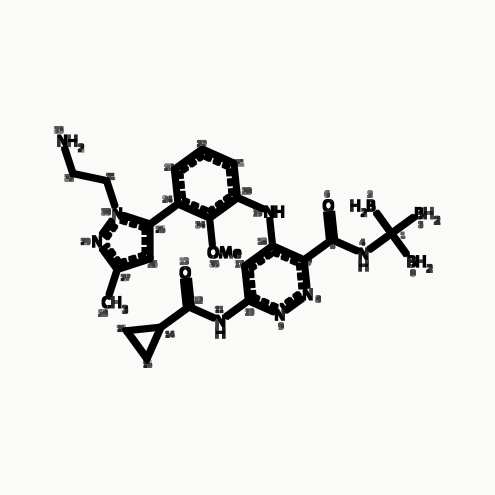 BC(B)(B)NC(=O)c1nnc(NC(=O)C2CC2)cc1Nc1cccc(-c2cc(C)nn2CCN)c1OC